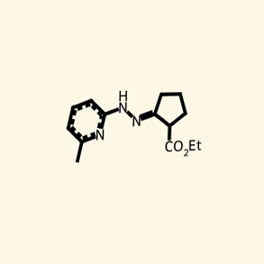 CCOC(=O)C1CCCC1=NNc1cccc(C)n1